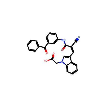 N#CC(=Cc1cn(CC(=O)O)c2ccccc12)C(=O)Nc1cccc(C(=O)c2ccccc2)c1